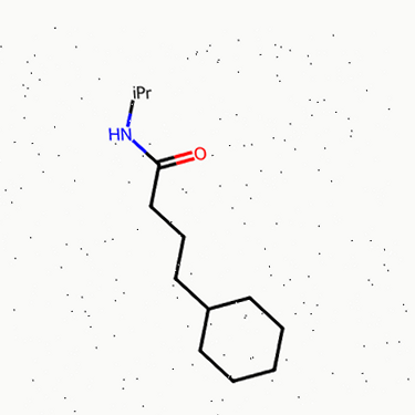 CC(C)NC(=O)CCCC1CCCCC1